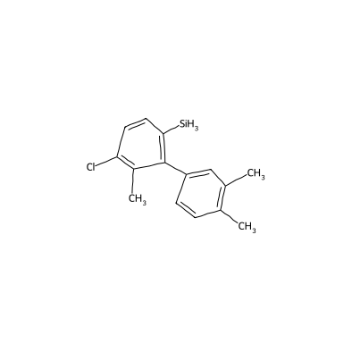 Cc1ccc(-c2c([SiH3])ccc(Cl)c2C)cc1C